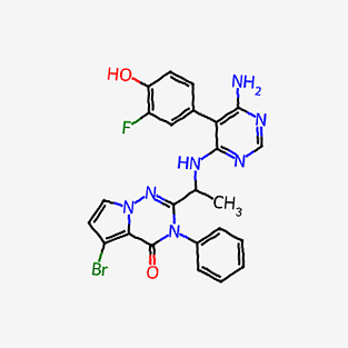 CC(Nc1ncnc(N)c1-c1ccc(O)c(F)c1)c1nn2ccc(Br)c2c(=O)n1-c1ccccc1